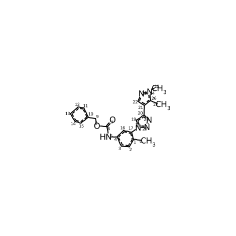 Cc1ccc(NC(=O)OCc2ccccc2)cc1-n1cc(-c2cnn(C)c2C)nn1